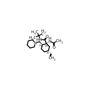 C=C[C@@H]1CC[C@@H](CN2CCCCC2)[C@@](NC(C)=O)(C(=O)NC(C)(C)C)C1